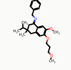 COCCCOc1cc2c(cc1OC)/C(=N/Cc1ccccc1)CC(C)(C(C)C)C2